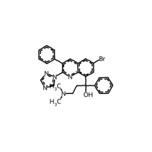 CN(C)CCC(O)(c1ccccc1)c1cc(Br)cc2cc(-c3ccccc3)c(-n3cncn3)nc12